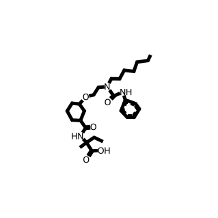 CCCCCCCN(CCOC1CCCC(C(=O)NC(C)(CC)C(=O)O)C1)C(=O)Nc1ccccc1